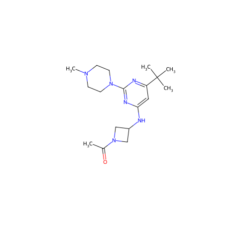 CC(=O)N1CC(Nc2cc(C(C)(C)C)nc(N3CCN(C)CC3)n2)C1